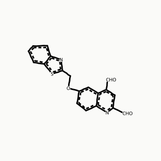 O=Cc1cc(C=O)c2cc(OCc3nc4ccccc4s3)ccc2n1